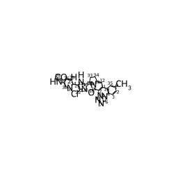 Cc1ccc(-n2cnnn2)c(-c2cc3n(c(=O)c2)[C@H](c2nc(Cl)c(-c4ccc(NC(=O)O)cn4)[nH]2)CC3)c1